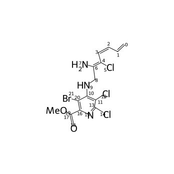 C=C/C=C\C(Cl)=C(/N)CNc1c(Cl)c(Cl)nc(C(=O)OC)c1Br